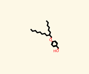 CCCCCCCCC(CCCCCC)COc1ccc(CO)cc1